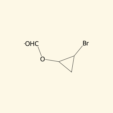 O=[C]OC1CC1Br